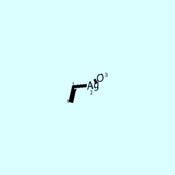 C=[CH][Ag]=[O]